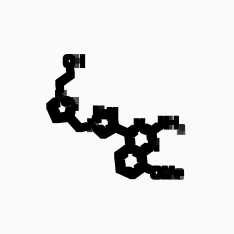 COc1cccc2c(-c3cn(Cc4ccn(CCO)n4)nn3)nc(N)nc12